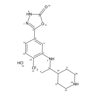 CC(Nc1cc(-c2n[nH]c(=O)o2)ccc1C(F)(F)F)C1CCNCC1.Cl